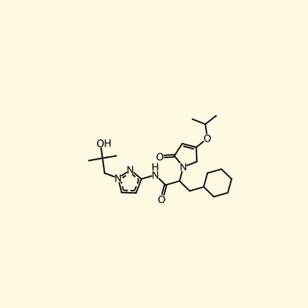 CC(C)OC1=CC(=O)N(C(CC2CCCCC2)C(=O)Nc2ccn(CC(C)(C)O)n2)C1